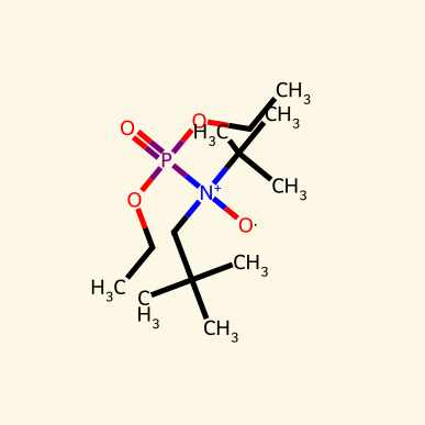 CCOP(=O)(OCC)[N+]([O])(CC(C)(C)C)C(C)(C)C